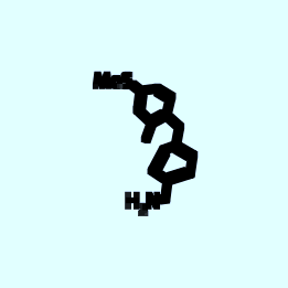 CSc1ccc(Cc2ccc(CN)cc2)c(C)c1